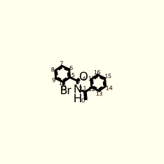 C=C(NC(=O)c1ccccc1Br)c1ccccc1